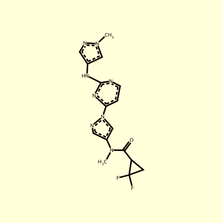 CN(C(=O)C1CC1(F)F)c1cnn(-c2ccnc(Nc3cnn(C)c3)n2)c1